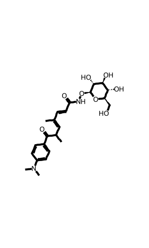 CC(C=CC(=O)NO[C@@H]1O[C@H](CO)[C@@H](O)[C@H](O)[C@H]1O)=CC(C)C(=O)c1ccc(N(C)C)cc1